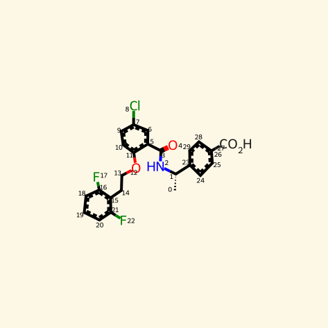 C[C@H](NC(=O)c1cc(Cl)ccc1OCCc1c(F)cccc1F)c1ccc(C(=O)O)cc1